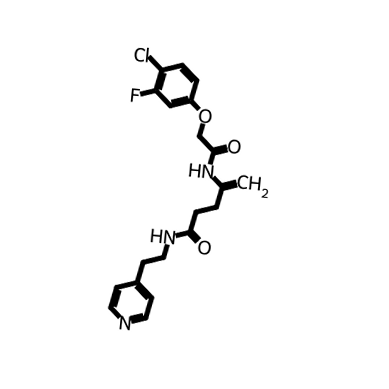 C=C(CCC(=O)NCCc1ccncc1)NC(=O)COc1ccc(Cl)c(F)c1